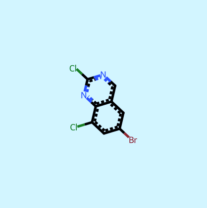 Clc1ncc2cc(Br)cc(Cl)c2n1